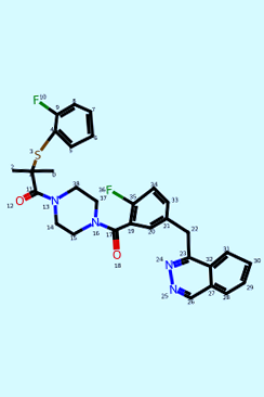 CC(C)(Sc1ccccc1F)C(=O)N1CCN(C(=O)c2cc(Cc3nncc4ccccc34)ccc2F)CC1